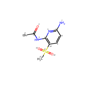 CC(C)(C)C(=O)Nc1nc(N)ccc1S(C)(=O)=O